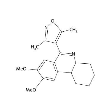 COc1cc2c(cc1OC)C1CCCCC1N=C2c1c(C)noc1C